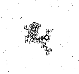 CC1(C)c2[nH]nc(NC(=O)C3([Si](C)(C)C)CCC3)c2CN1C(=O)NC(COC(=O)CCC(=O)[O-])c1ccccc1.[Na+]